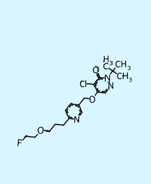 CC(C)(C)n1ncc(OCc2ccc(CCCOCCF)nc2)c(Cl)c1=O